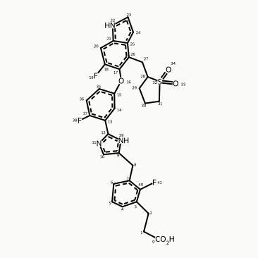 O=C(O)CCc1cccc(Cc2cnc(-c3cc(Oc4c(F)cc5[nH]ccc5c4CC4CCCS4(=O)=O)ccc3F)[nH]2)c1F